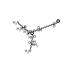 NCCCC[C@H](N)C(=O)NCCNC(=O)c1cc(OCCNC(=O)CCCCCCCCCCC(=O)OCc2ccccc2)cc(C(=O)NCCNC(=O)[C@@H](N)CCCCN)c1